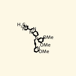 COc1cc(OC)cc(N(CC#Cc2cccc(OC)n2)c2ccc3ncc(-c4cnn(C)c4)nc3c2)c1